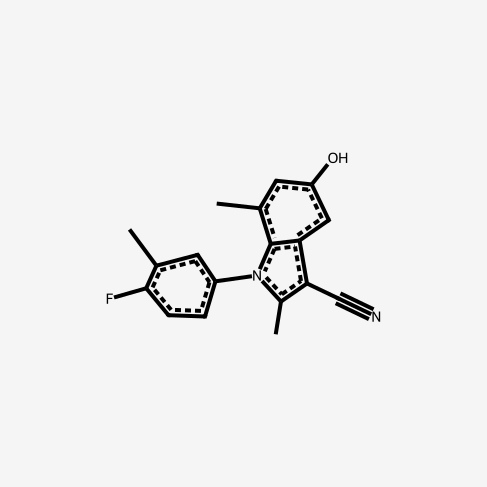 Cc1cc(-n2c(C)c(C#N)c3cc(O)cc(C)c32)ccc1F